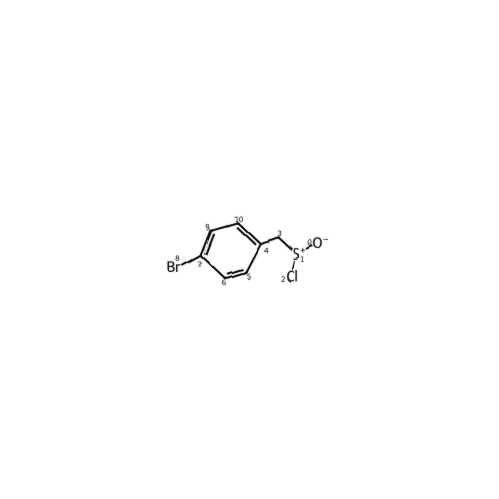 [O-][S+](Cl)Cc1ccc(Br)cc1